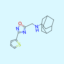 c1csc(-c2noc(CNC34CC5CC(CC(C5)C3)C4)n2)c1